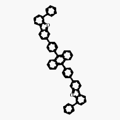 c1ccc(-c2cccc3c2oc2cc(-c4ccc(-c5c6ccccc6c(-c6ccc(-c7ccc8c(c7)oc7c(-c9ccccc9)cccc78)cc6)c6ccccc56)cc4)ccc23)cc1